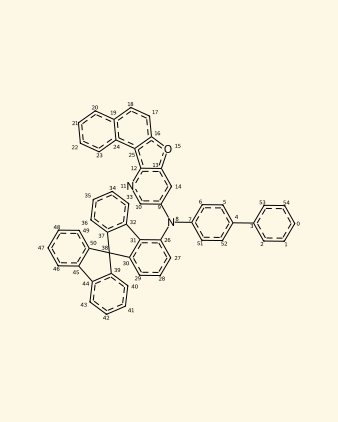 c1ccc(-c2ccc(N(c3cnc4c(c3)oc3ccc5ccccc5c34)c3cccc4c3-c3ccccc3C43c4ccccc4-c4ccccc43)cc2)cc1